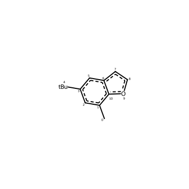 Cc1cc(C(C)(C)C)cc2ccoc12